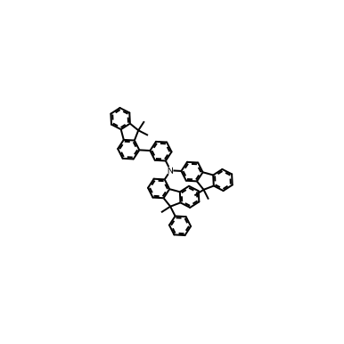 CC1(C)c2ccccc2-c2ccc(N(c3cccc(-c4cccc5c4C(C)(C)c4ccccc4-5)c3)c3cccc4c3-c3ccccc3C4(C)c3ccccc3)cc21